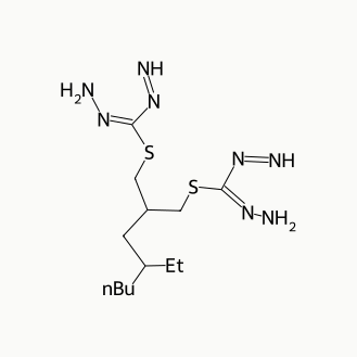 CCCCC(CC)CC(CSC(N=N)=NN)CSC(N=N)=NN